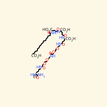 CCN[C@@H](CCCCNC(=O)COCCOCCNC(=O)COCCOCCNC(=O)CC[C@H](NC(=O)CC[C@H](NC(=O)CC[C@H](NC(=O)CCCCCCCCCCCCCCCCC(=O)O)C(=O)O)C(=O)O)C(=O)O)C(N)=O